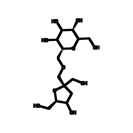 OCC1O[C@H](COC[C@@]2(CO)CC(O)[C@@H](CO)O2)C(O)C(O)[C@@H]1O